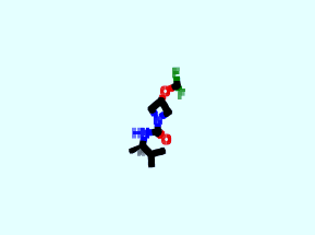 CC(C)[C@@H](C)NC(=O)N1CC(OC(F)F)C1